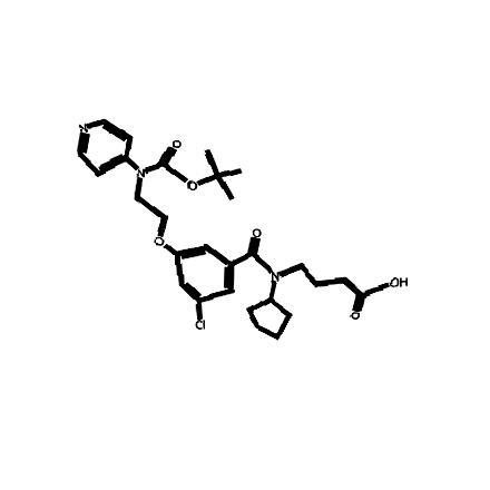 CC(C)(C)OC(=O)N(CCOc1cc(Cl)cc(C(=O)N(CCCC(=O)O)C2CCCC2)c1)c1ccncc1